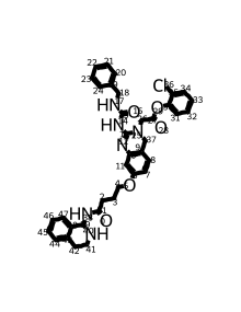 O=C(CCCOc1ccc2c(c1)N=C(NC(=O)NCc1ccccc1)N(CC(=O)Oc1ccccc1Cl)C2)NC1NCCc2ccccc21